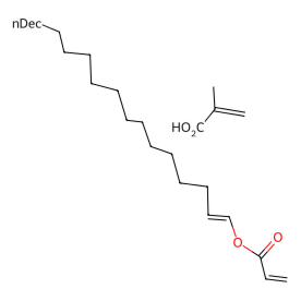 C=C(C)C(=O)O.C=CC(=O)OC=CCCCCCCCCCCCCCCCCCCCCC